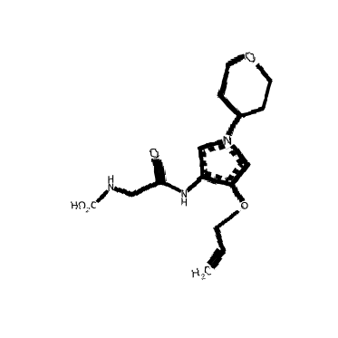 C=CCOc1cn(C2CCOCC2)cc1NC(=O)CNC(=O)O